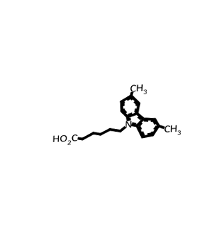 Cc1ccc2c(c1)c1cc(C)ccc1n2CCCCCC(=O)O